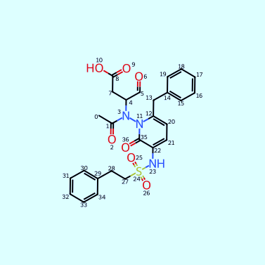 CC(=O)N(C(C=O)CC(=O)O)n1c(Cc2ccccc2)ccc(NS(=O)(=O)CCc2ccccc2)c1=O